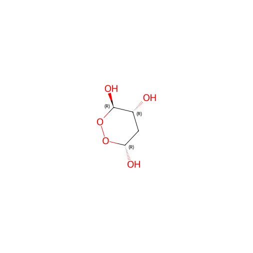 O[C@@H]1C[C@H](O)OO[C@H]1O